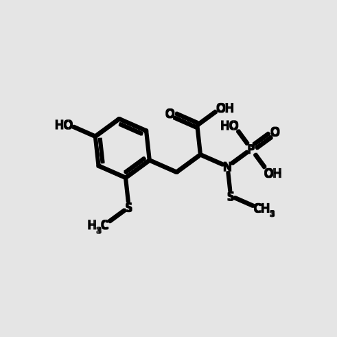 CSc1cc(O)ccc1CC(C(=O)O)N(SC)P(=O)(O)O